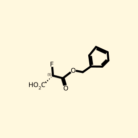 O=C(O)[C@H](F)C(=O)OCc1ccccc1